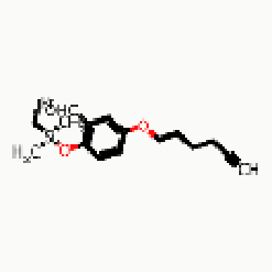 C#CCCCCOc1ccc(O[Si](C)(C)CC(C)C)c(C=O)c1